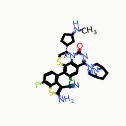 CNC1CCC([C@H]2CSc3c(-c4ccc(F)c5sc(N)c(C#N)c45)c(Cl)cc4c(N5CC6CCC(C5)N6)nc(=O)n2c34)C1